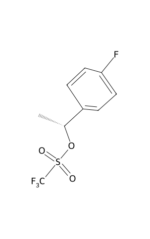 C[C@@H](OS(=O)(=O)C(F)(F)F)c1ccc(F)cc1